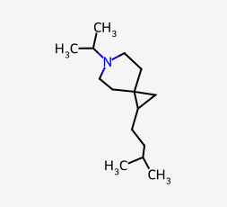 CC(C)CCC1CC12CCN(C(C)C)CC2